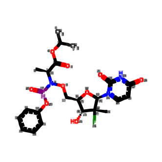 C[C@@H](C(=O)OC(C(F)(F)F)C(F)(F)F)N(OC[C@H]1O[C@@H](n2ccc(=O)[nH]c2=O)[C@](C)(F)[C@@H]1O)[PH](=O)Oc1ccccc1